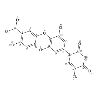 CCC(CC)c1nc(Oc2c(Cl)cc(-n3nc(C#N)c(=O)[nH]c3=O)cc2Cl)ncc1O